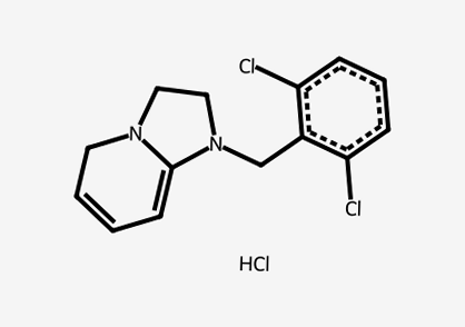 Cl.Clc1cccc(Cl)c1CN1CCN2CC=CC=C21